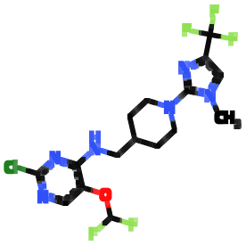 Cn1cc(C(F)(F)F)nc1N1CCC(CNc2nc(Cl)ncc2OC(F)F)CC1